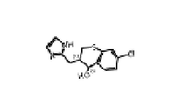 O[C@@H]1c2ccc(Cl)cc2SC[C@@H]1Cc1ncc[nH]1